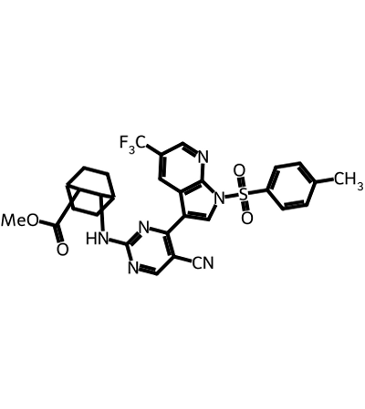 COC(=O)C1C2CCC(CC2)C1Nc1ncc(C#N)c(-c2cn(S(=O)(=O)c3ccc(C)cc3)c3ncc(C(F)(F)F)cc23)n1